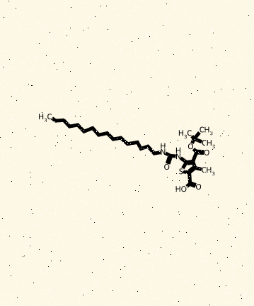 CCCCCCCCCCCCCCCCNC(=O)Nc1sc(C(=O)O)c(C)c1C(=O)OC(C)(C)C